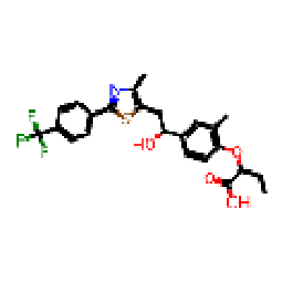 CCC(Oc1ccc(C(O)Cc2sc(-c3ccc(C(F)(F)F)cc3)nc2C)cc1C)C(=O)O